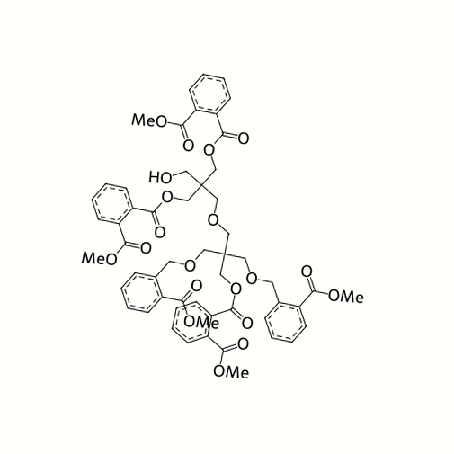 COC(=O)c1ccccc1COCC(COCc1ccccc1C(=O)OC)(COCC(CO)(COC(=O)c1ccccc1C(=O)OC)COC(=O)c1ccccc1C(=O)OC)COC(=O)c1ccccc1C(=O)OC